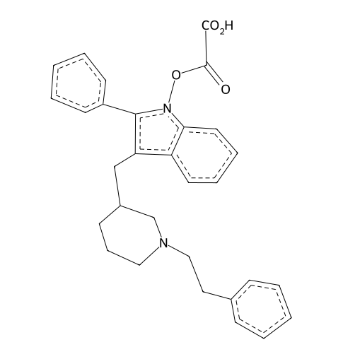 O=C(O)C(=O)On1c(-c2ccccc2)c(CC2CCCN(CCc3ccccc3)C2)c2ccccc21